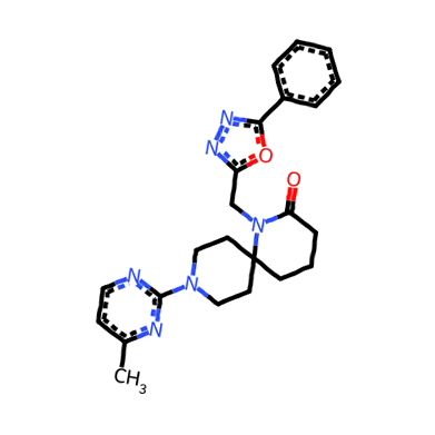 Cc1ccnc(N2CCC3(CCCC(=O)N3Cc3nnc(-c4ccccc4)o3)CC2)n1